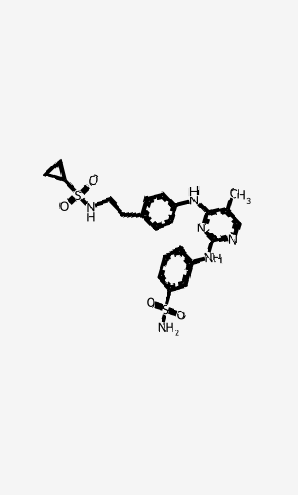 Cc1cnc(Nc2cccc(S(N)(=O)=O)c2)nc1Nc1ccc(CCNS(=O)(=O)C2CC2)cc1